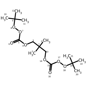 CC(C)(COC(=O)OOC(C)(C)C)COC(=O)OOC(C)(C)C